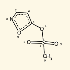 CS(=O)(=O)Oc1ccno1